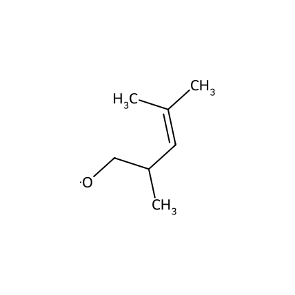 CC(C)=CC(C)C[O]